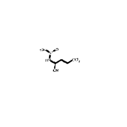 CC(C)(C)[S+]([O-])N[C@H](C#N)CCC(Cl)(Cl)Cl